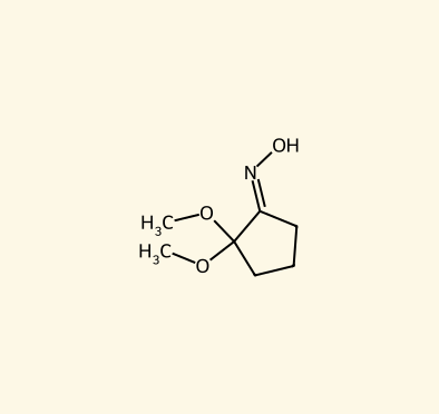 COC1(OC)CCCC1=NO